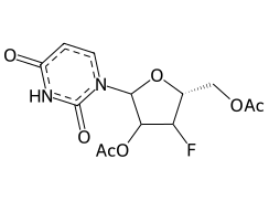 CC(=O)OC[C@H]1OC(n2ccc(=O)[nH]c2=O)C(OC(C)=O)C1F